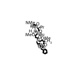 CC[C@H](C)[C@@H]([C@@H](CC(=O)N1CCC[C@H]1[C@H](OC)[C@@H](C)C(=O)NS(=O)(=O)Cc1ccccc1)OC)N(C)C(=O)[C@@H](NC(=O)C(NC)C(C)C)C(C)C